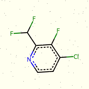 Fc1c(Cl)ccnc1C(F)F